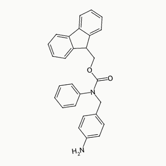 Nc1ccc(CN(C(=O)OCC2c3ccccc3-c3ccccc32)c2ccccc2)cc1